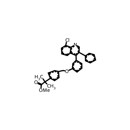 COC(=O)C(C)(C)c1ccc(COc2cccc(-c3c(-c4ccccc4)cnc4c(Cl)cccc34)c2)cc1